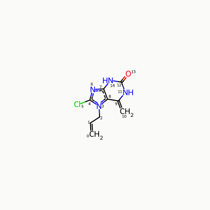 C=CCn1c(Cl)nc2c1C(=C)NC(=O)N2